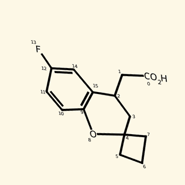 O=C(O)CC1CC2(CCC2)Oc2ccc(F)cc21